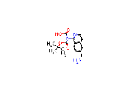 CC(C)(C)OC(=O)N(C(=O)O)c1nccc2cc(CN)ccc12